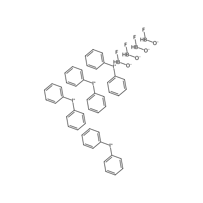 [O-]BF.[O-]BF.[O-]BF.[O-]BF.c1ccc([I+]c2ccccc2)cc1.c1ccc([I+]c2ccccc2)cc1.c1ccc([I+]c2ccccc2)cc1.c1ccc([I+]c2ccccc2)cc1